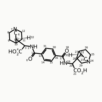 O=C(NC(C(=O)O)[C@@H]1CN2CCC1CC2)c1ccc(C(=O)NC(C(=O)O)[C@@H]2CN3CCC2CC3)cc1